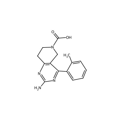 Cc1ccccc1-c1nc(N)nc2c1CN(C(=O)O)CC2